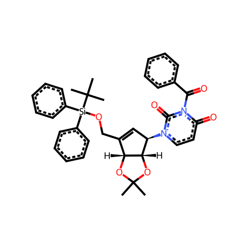 CC1(C)O[C@@H]2[C@H](O1)C(CO[Si](c1ccccc1)(c1ccccc1)C(C)(C)C)=C[C@H]2n1ccc(=O)n(C(=O)c2ccccc2)c1=O